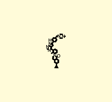 Cc1c(-c2ncnc3[nH]c(-c4ccc(CN5CCN(C)CC5)cc4)cc23)cccc1-n1ccc2cc(C3CC3)ccc2c1=O